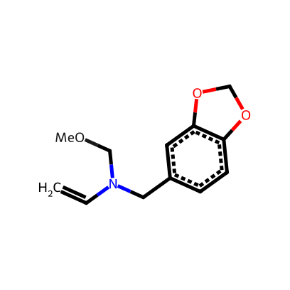 C=CN(COC)Cc1ccc2c(c1)OCO2